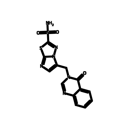 NS(=O)(=O)c1nn2c(Cn3cnc4ccccc4c3=O)cnc2s1